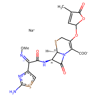 CO/N=C(\C(=O)N[C@@H]1C(=O)N2C(C(=O)[O-])=C(OC3C=C(C)C(=O)O3)CS[C@H]12)c1csc(N)n1.[Na+]